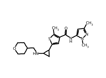 Cc1cc(NC(=O)c2cc(C3CC3NCC3CCOCC3)sc2C)n(C)n1